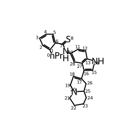 CCCc1ccccc1C(=S)Nc1ccc2[nH]cc(C3=CCN4CCCCC4C3)c2c1